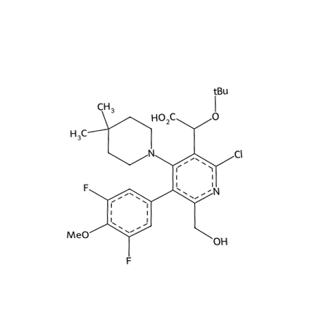 COc1c(F)cc(-c2c(CO)nc(Cl)c(C(OC(C)(C)C)C(=O)O)c2N2CCC(C)(C)CC2)cc1F